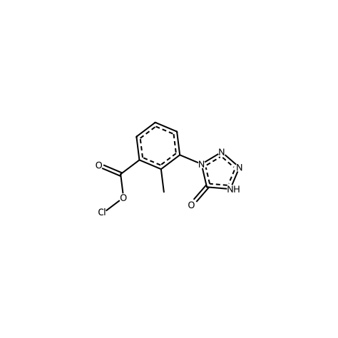 Cc1c(C(=O)OCl)cccc1-n1nn[nH]c1=O